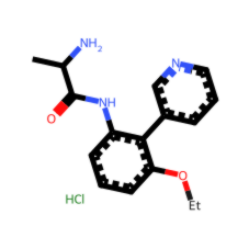 CCOc1cccc(NC(=O)C(C)N)c1-c1cccnc1.Cl